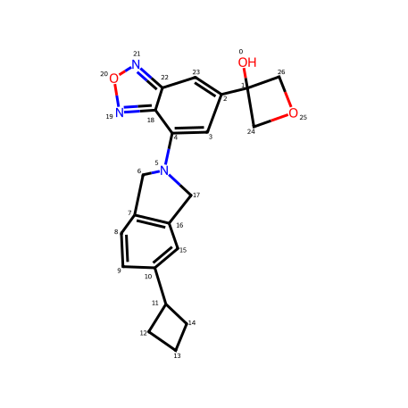 OC1(c2cc(N3Cc4ccc(C5CCC5)cc4C3)c3nonc3c2)COC1